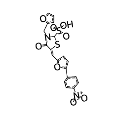 O=C1C(=Cc2ccc(-c3ccc([N+](=O)[O-])cc3)o2)SC(S(=O)(=O)O)N1Cc1ccco1